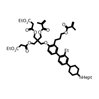 C=C(C)C(=O)OCCCc1cc(-c2ccc(C3CCC(CCCCCCC)CC3)cc2CC)ccc1OCC(COC(=O)CC(=O)OCC)(COC(=O)CC(=O)OCC)COC(=O)C(=C)C